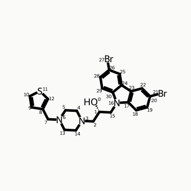 O[C@@H](CN1CCN(Cc2ccsc2)CC1)Cn1c2ccc(Br)cc2c2cc(Br)ccc21